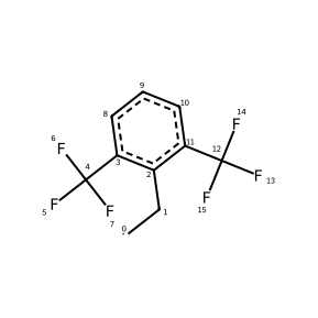 [CH2]Cc1c(C(F)(F)F)cccc1C(F)(F)F